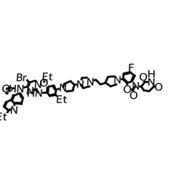 CCOc1cc(N2CCC(N3CCN(CCC4CCN(c5cc(F)cc6c5oc(=O)n6C5CCC(=O)NC5=O)CC4)CC3)CC2)c(CC)cc1Nc1ncc(Br)c(Nc2ccc3nc(CC)ccc3c2P(C)(C)=O)n1